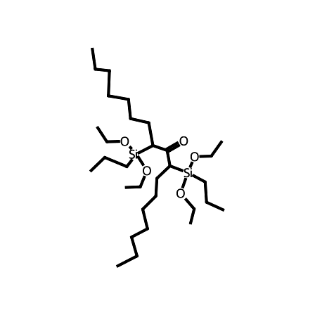 CCCCCCCC(C(=O)C(CCCCCCC)[Si](CCC)(OCC)OCC)[Si](CCC)(OCC)OCC